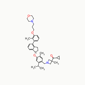 Cc1cc(CN2CC(C)(C(=O)C3CC3)C2)c(C(C)C)cc1O[C@H]1CCc2c(-c3cccc(OCCCN4CCOCC4)c3C)cccc21